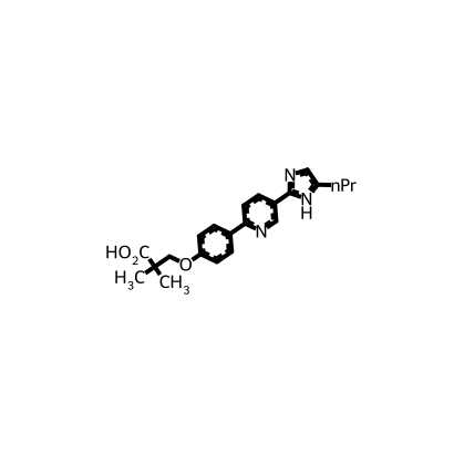 CCCc1cnc(-c2ccc(-c3ccc(OCC(C)(C)C(=O)O)cc3)nc2)[nH]1